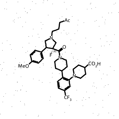 COc1ccc(C2CN(CCCC(C)=O)C[C@@]2(F)C(=O)N2CCC(c3ccc(C(F)(F)F)cc3N3CCC(C(=O)O)CC3)CC2)cc1